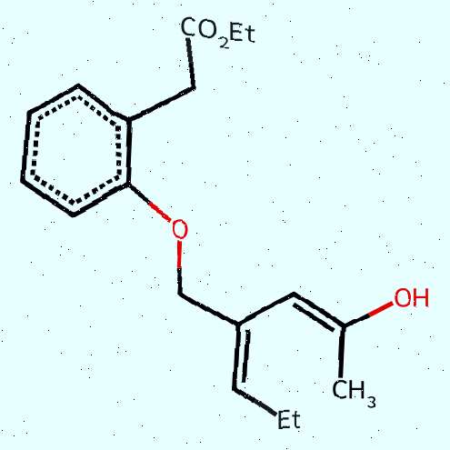 CC/C=C(\C=C(/C)O)COc1ccccc1CC(=O)OCC